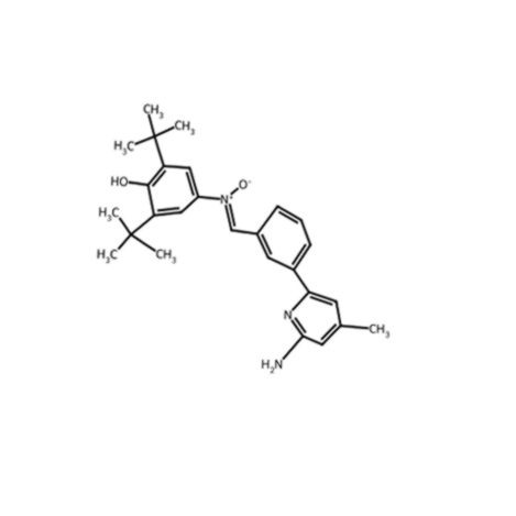 Cc1cc(N)nc(-c2cccc(/C=[N+](\[O-])c3cc(C(C)(C)C)c(O)c(C(C)(C)C)c3)c2)c1